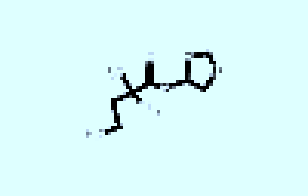 CCCC(C)(C)C(=O)OC1COCO1